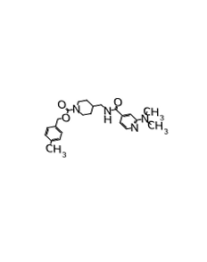 Cc1ccc(COC(=O)N2CCC(CNC(=O)c3ccnc(N(C)C)c3)CC2)cc1